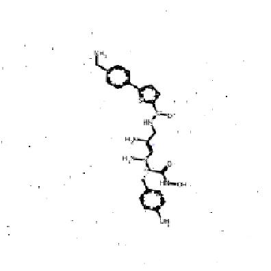 NCc1ccc(-c2ccc([S+]([O-])NC/C(N)=C/N(N)[C@@H](Cc3ccc(O)cc3)C(=O)NO)s2)cc1